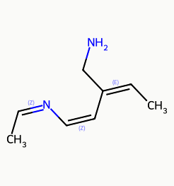 C\C=N/C=C\C(=C/C)CN